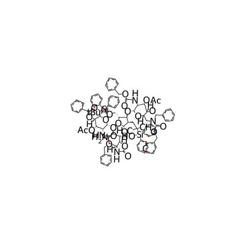 CC(=O)O[C@@H]1[C@@H](NC(=O)OCc2ccccc2)[C@@H](O[C@H]2[C@@H](CC(C)(C)[Si](O)(c3ccccc3)c3ccccc3)[C@H](O[C@@H]3[C@H]4OC(=O)N[C@@H]4C[C@H](N)[C@H]3O[C@H]3O[C@@H]4COC(c5ccccc5)O[C@H]4[C@@H](OC(C)=O)[C@H]3NC(=O)OCc3ccccc3)O[C@@H]2CO[Si](c2ccccc2)(c2ccccc2)C(C)(C)C)O[C@H]2CN(C(=O)OCc3ccccc3)C(c3ccccc3)O[C@@H]12